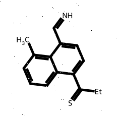 CCC(=S)c1ccc(C=N)c2c(C)cccc12